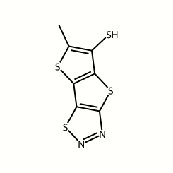 Cc1sc2c(sc3nnsc32)c1S